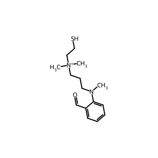 CN(CCC[N+](C)(C)CCS)c1ccccc1C=O